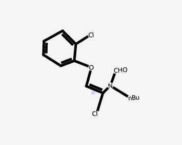 CCCCN(C=O)/C(Cl)=C\Oc1ccccc1Cl